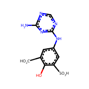 Nc1ncnc(Nc2cc(C(=O)O)c(O)c(S(=O)(=O)O)c2)n1